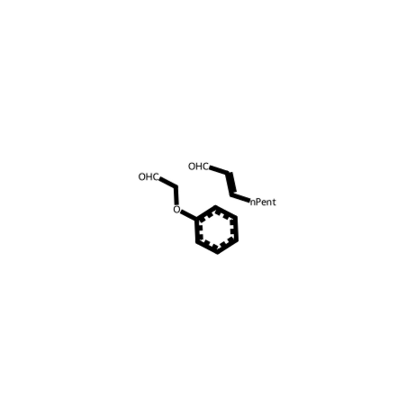 CCCCCC=CC=O.O=CCOc1ccccc1